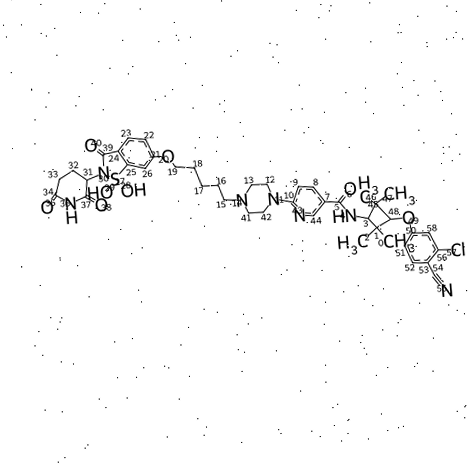 CC1(C)C(NC(=O)c2ccc(N3CCN(CCCCCOc4ccc5c(c4)S(O)(O)N(C4CCC(=O)NC4=O)C5=O)CC3)nc2)C(C)(C)C1Oc1ccc(C#N)c(Cl)c1